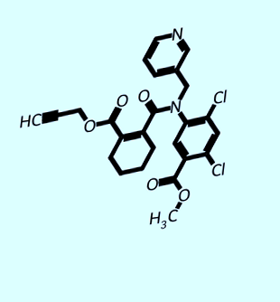 C#CCOC(=O)C1=C(C(=O)N(Cc2cccnc2)c2cc(C(=O)OC)c(Cl)cc2Cl)CCCC1